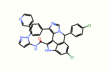 O=C(Nc1ccnn1Cc1cccnc1)c1[nH]c2cc(Cl)cc3c2c1-c1c(-c2ccccc2)ncn1C3c1ccc(Cl)cc1